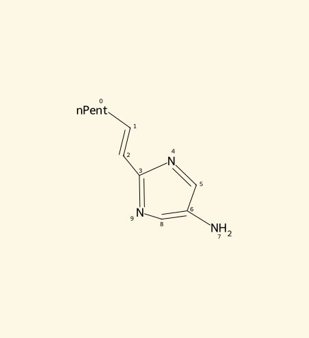 CCCCCC=Cc1ncc(N)cn1